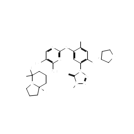 Cc1cnc(Nc2cc(-n3nnn(C)c3=O)c(O[C@@H]3CCOC3)cc2F)nc1N[C@@H]1C[C@@H]2CCCN2C(C)(C)C1